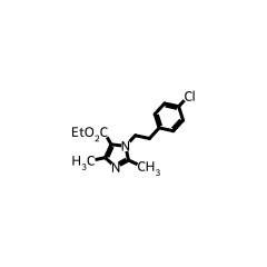 CCOC(=O)c1c(C)nc(C)n1CCc1ccc(Cl)cc1